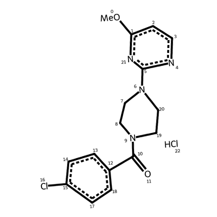 COc1ccnc(N2CCN(C(=O)c3ccc(Cl)cc3)CC2)n1.Cl